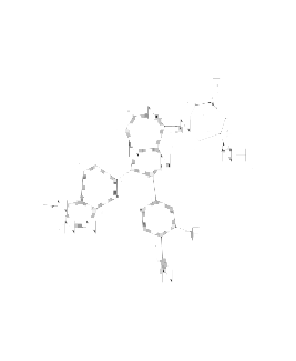 Cn1nnc2cc(-c3c(-c4ccc(C#N)c(F)c4)nc4c(N5C[C@H](N)C[C@@H](F)C5)nccn34)ccc21